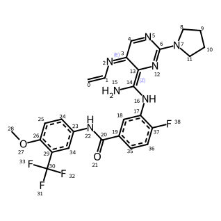 C=C/N=C1/C=NC(N2CCCC2)=N/C1=C(/N)Nc1cc(C(=O)Nc2ccc(OC)c(C(F)(F)F)c2)ccc1F